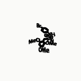 COc1cc(OC)c(/C=C(\C#N)S(=O)(=O)Nc2ccc(Br)cc2)c(OC)c1